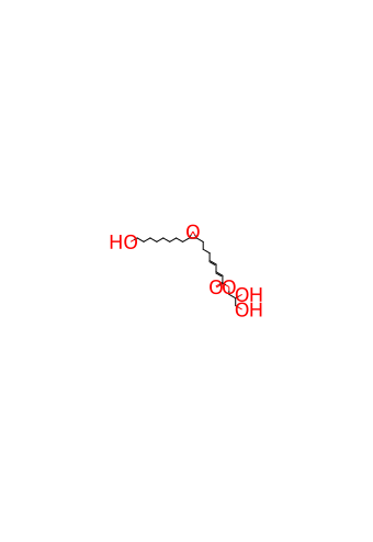 O=C(C=CC=CCCCC1OC1CCCCCCCCO)OCC(O)CO